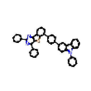 c1ccc(-c2nc(-c3ccccc3)c3sc4c(-c5ccc(-c6ccc7c(c6)c6ccccc6n7-c6ccccc6)cc5)cccc4c3n2)cc1